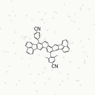 Cc1cc(C#N)cc(C)c1-c1cc2c3cc4c(c(-c5ccc(C#N)cc5)c3ccc2c2cc3c(cc12)-c1cccc2cccc-3c12)-c1cccc2cccc-4c12